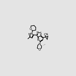 Cc1cc(-c2nsc3c(C4(C#N)CC4)cc(N4CCOC[C@H]4C)nc23)n(C2CCCCO2)n1